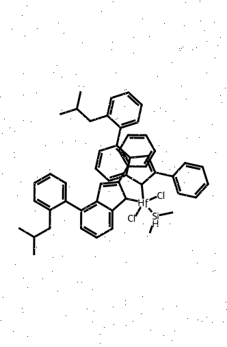 CC(C)Cc1ccccc1-c1cccc2c1C=C(c1ccccc1)[CH]2[Hf]([Cl])([Cl])([CH]1C(c2ccccc2)=Cc2c(-c3ccccc3CC(C)C)cccc21)[SiH](C)C